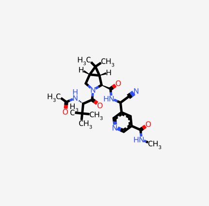 CNC(=O)c1cncc(C(C#N)NC(=O)[C@@H]2[C@@H]3[C@H](CN2C(=O)[C@@H](NC(C)=O)C(C)(C)C)C3(C)C)c1